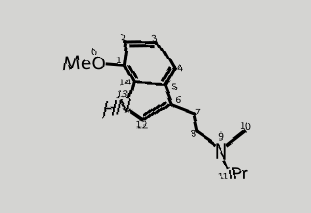 COc1cccc2c(CCN(C)C(C)C)c[nH]c12